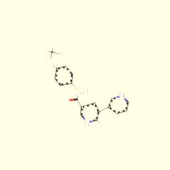 O=C(Nc1ccc(OC(F)(F)Cl)cc1)c1cnc(Cl)c(-c2cccnc2)c1